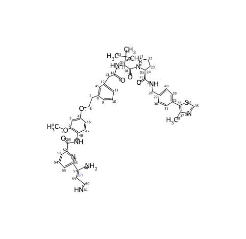 COc1cc(OCCc2cccc(CC(=O)N[C@H](C(=O)N3CCC[C@H]3C(=O)NCc3ccc(-c4scnc4C)cc3)C(C)(C)C)c2)ccc1NC(=O)c1cccc(/C(N)=C/C=N)n1